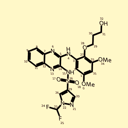 COc1cc(Nc2nc3ccccc3nc2NS(=O)(=O)c2cnn(C(F)F)c2)c(OCCCO)c(OC)c1